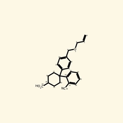 C=CCOCc1ccc(C2(c3ccccc3C#N)CCC(C(=O)O)CC2)cc1